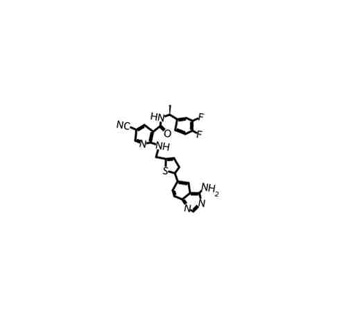 C[C@H](NC(=O)c1cc(C#N)cnc1NCC1=CCC(c2ccc3ncnc(N)c3c2)S1)c1ccc(F)c(F)c1